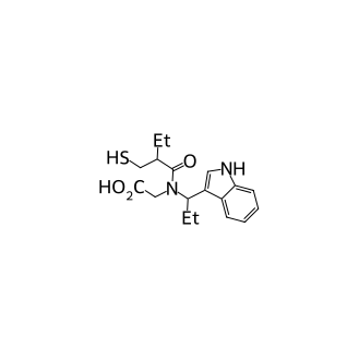 CCC(CS)C(=O)N(CC(=O)O)C(CC)c1c[nH]c2ccccc12